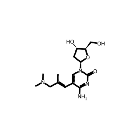 C/C(=C\c1cn([C@H]2C[C@H](O)[C@@H](CO)O2)c(=O)nc1N)CN(C)C